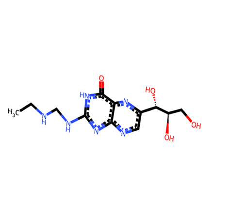 CCNCNc1nc2ncc([C@H](O)[C@H](O)CO)nc2c(=O)[nH]1